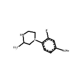 CNc1ccc(N2CCNC(C)C2)c(F)c1